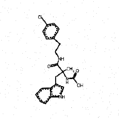 CC(Cc1c[nH]c2ccccc12)(NC(=O)O)C(=O)NCCc1ccc(Cl)cc1